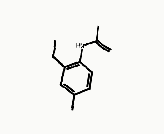 C=C(C)Nc1ccc(C)cc1CC